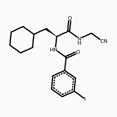 N#CCNC(=O)[C@H](CC1CCCCC1)NC(=O)c1cccc(I)c1